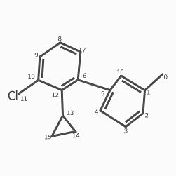 Cc1cccc(-c2[c]ccc(Cl)c2C2CC2)c1